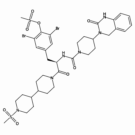 CS(=O)(=O)Oc1c(Br)cc(C[C@@H](NC(=O)N2CCC(N3Cc4ccccc4NC3=O)CC2)C(=O)N2CCC(C3CCN(S(C)(=O)=O)CC3)CC2)cc1Br